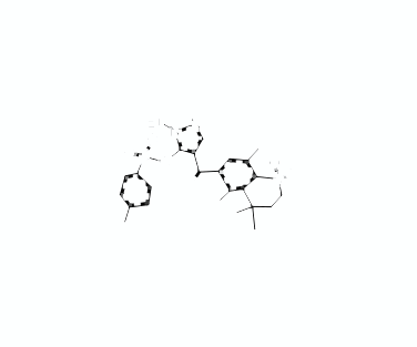 CCn1ncc(C(=O)c2cc(C)c3c(c2C)C(C)(C)CCS3(=O)=O)c1OS(=O)(=O)c1ccc(C)cc1